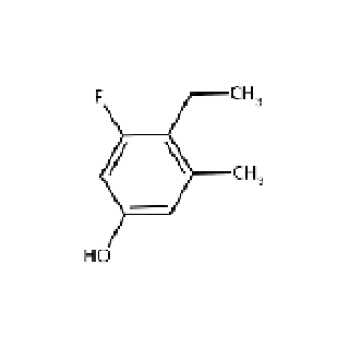 CCc1c(C)cc(O)cc1F